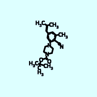 CC(C)=Cc1cc(C)c(C#N)c(N2CCN(C(=O)OC(C)(C)C)CC2)c1